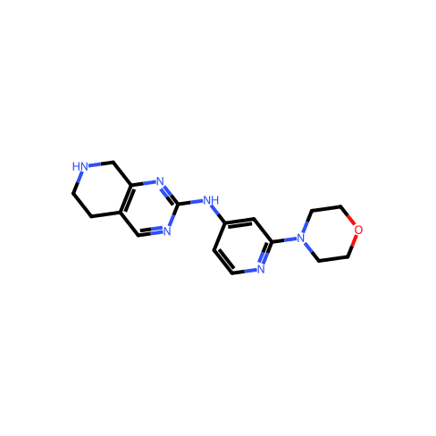 c1cc(Nc2ncc3c(n2)CNCC3)cc(N2CCOCC2)n1